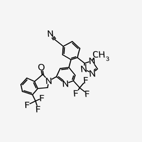 Cn1cnnc1-c1ccc(C#N)cc1-c1cc(N2Cc3c(cccc3C(F)(F)F)C2=O)nc(C(F)(F)F)c1